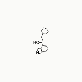 OC(CCC1CCCCC1)c1cccn2cncc12